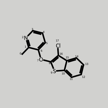 Cc1ncccc1Oc1sc2ccccc2c1Cl